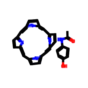 C1=Cc2cc3ccc(cc4nc(cc5ccc(cc1n2)[nH]5)C=C4)[nH]3.CC(=O)Nc1ccc(O)cc1